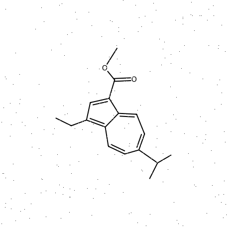 CCc1cc(C(=O)OC)c2ccc(C(C)C)ccc1-2